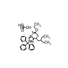 CCOC(=S)SC(CC(CC)CC)c1ncn(C(c2ccccc2)(c2ccccc2)c2ccccc2)n1.O=[PH](O)O